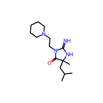 CC(C)CC1(C)NC(=N)N(CCN2CCCCC2)C1=O